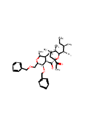 COC(=O)[C@@]1(C(O)[C@@H]2C(C)[C@H](OC)OC(COCc3ccccc3)[C@@H]2OCc2ccccc2)C[C@@H](C)[C@@H](C)C([C@H](C)[C@@H](COC(C)=O)OC(C)=O)O1